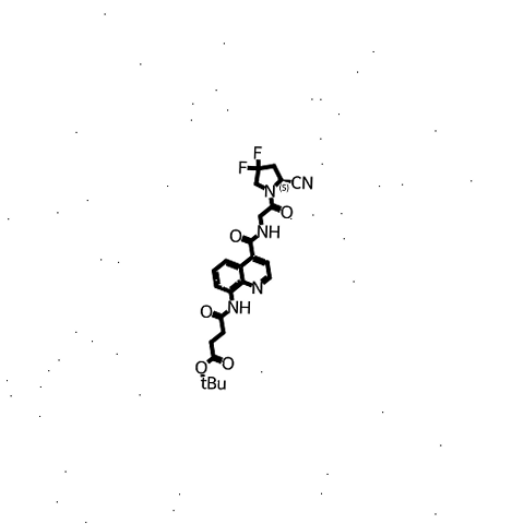 CC(C)(C)OC(=O)CCC(=O)Nc1cccc2c(C(=O)NCC(=O)N3CC(F)(F)C[C@H]3C#N)ccnc12